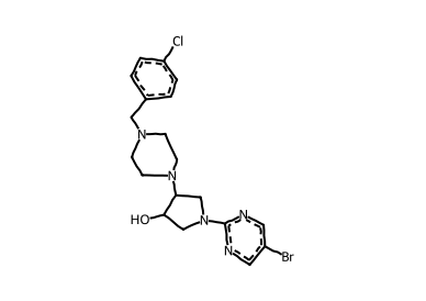 OC1CN(c2ncc(Br)cn2)CC1N1CCN(Cc2ccc(Cl)cc2)CC1